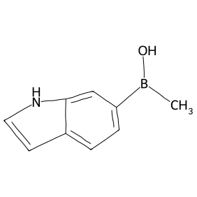 CB(O)c1ccc2cc[nH]c2c1